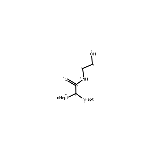 CCCCCCCC(CCCCCCC)C(=O)NCCO